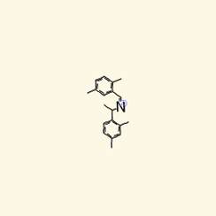 Cc1ccc(C(C)/N=C\c2cc(C)ccc2C)c(C)c1